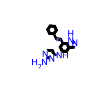 Nc1nccc(Nc2cc(/C=C/c3ccccc3)c3[nH]ncc3c2)n1